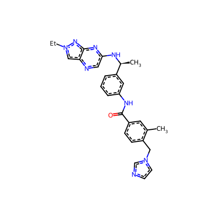 CCn1cc2ncc(N[C@@H](C)c3cccc(NC(=O)c4ccc(Cn5ccnc5)c(C)c4)c3)nc2n1